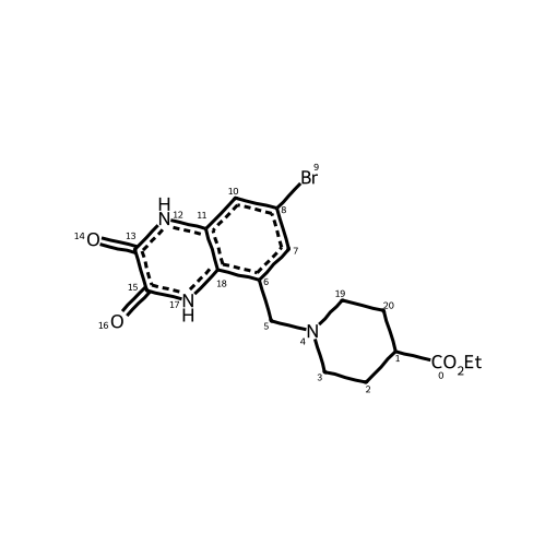 CCOC(=O)C1CCN(Cc2cc(Br)cc3[nH]c(=O)c(=O)[nH]c23)CC1